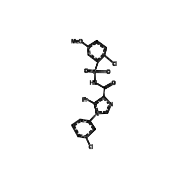 COc1ccc(Cl)c(S(=O)(=O)NC(=O)c2ncn(-c3cccc(Cl)c3)c2C(C)C)c1